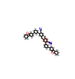 N#Cc1ccc2c(c1)C1c3cc(C#N)c(-c4cccc(-c5ccc6c(c5)oc5ccccc56)c4)cc3C2c2cc(-c3cccc(-c4ccc5c(c4)oc4ccccc45)c3)c(C#N)cc21